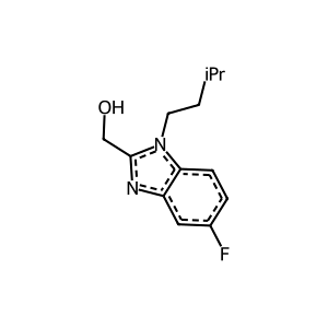 CC(C)CCn1c(CO)nc2cc(F)ccc21